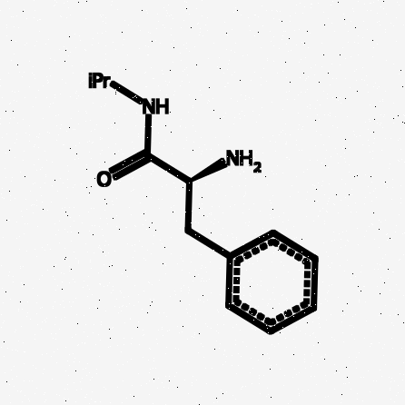 CC(C)NC(=O)[C@@H](N)Cc1ccccc1